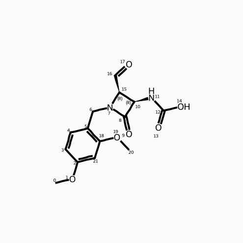 COc1ccc(CN2C(=O)[C@H](NC(=O)O)[C@@H]2C=O)c(OC)c1